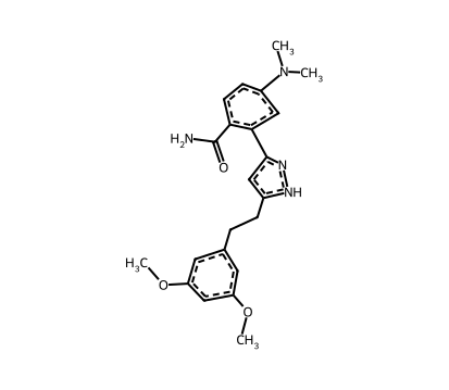 COc1cc(CCc2cc(-c3cc(N(C)C)ccc3C(N)=O)n[nH]2)cc(OC)c1